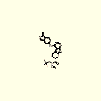 CN(CC(F)(F)F)C(=O)[C@H]1CCc2c(sc3ncnc(Nc4ccc5[nH]ncc5c4)c23)C1